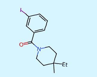 CCC1(C)CCN(C(=O)c2cccc(I)c2)CC1